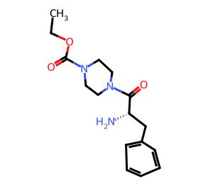 CCOC(=O)N1CCN(C(=O)[C@@H](N)Cc2ccccc2)CC1